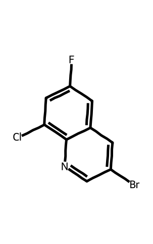 Fc1cc(Cl)c2ncc(Br)cc2c1